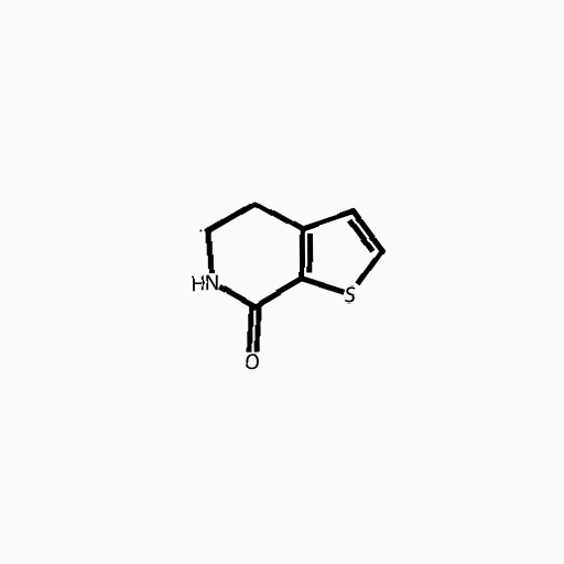 O=C1N[CH]Cc2ccsc21